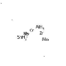 [AlH3].[Cr].[Mo].[Nb].[SnH2].[Zr]